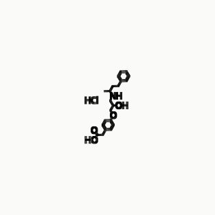 CC(CCc1ccccc1)NCC(O)COc1ccc(CC(=O)O)cc1.Cl